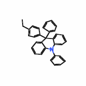 CCc1ccc(C2(c3ccccc3)c3ccccc3N(c3ccccc3)c3ccccc32)cc1